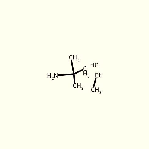 CC(C)(C)N.CCC.Cl